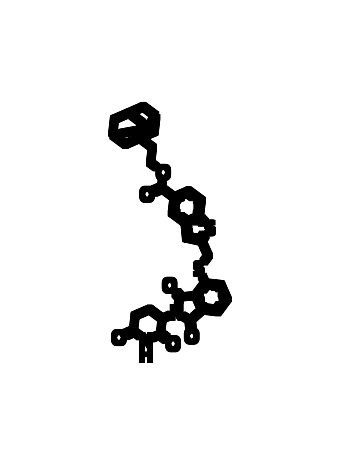 O=C1CCC(N2C(=O)c3cccc(SCc4cc5cc(C(=O)OCCC67CC8CC(CC(C8)C6)C7)ccc5s4)c3C2=O)C(=O)N1